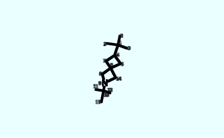 CC(C)(C)C1CC2(C1)CN(C(C)(C)C)C2